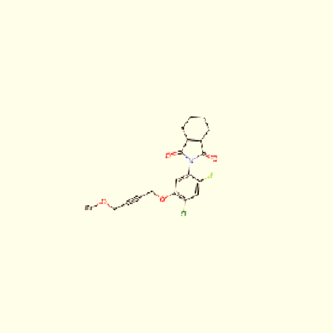 CC(C)OCC#CCOc1cc(N2C(=O)C3CCCCC3C2=O)c(F)cc1Cl